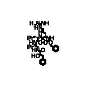 CC(C)C[C@H](NC(=O)[C@H](CCCNC(=N)N)NC(=O)OCc1ccccc1)C(=O)N[C@H](CNC(=O)[C@H](O)Cc1ccccc1)C(C)C